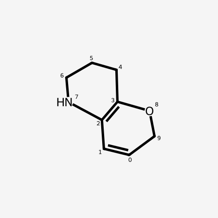 C1=CC2=C(CCCN2)OC1